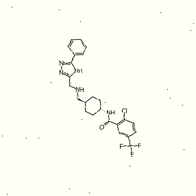 O=C(N[C@H]1CC[C@H](CNCc2nnc(-c3ccccc3)[nH]2)CC1)c1cc(C(F)(F)F)ccc1Cl